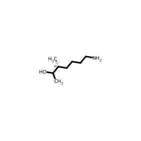 CC(O)[C@H](C)CCCCN